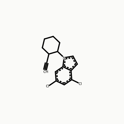 C#CC1CCCCC1n1ccc2c(Cl)cc(Cl)cc21